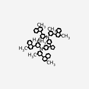 CC1=CC(N(C2=CC(C3CC=C(C)C4=C3C=CCC4)CC(C)=C2)c2ccc(C3(c4ccc(N(c5cc(C)cc(-c6ccc(C)c7ccccc67)c5)c5cc(C)cc(-c6ccc(C)c7ccccc67)c5)cc4)CCCC3)cc2)CC(C2=CC=C(C)C3C=CC=CC23)=C1